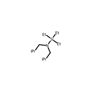 CC[Si](CC)(CC)N(CC(C)C)CC(C)C